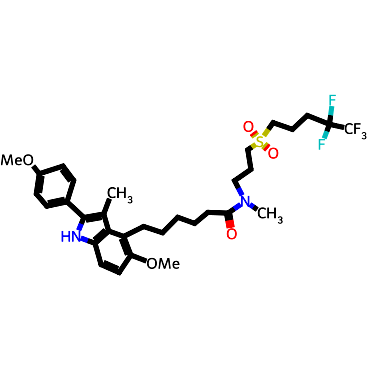 COc1ccc(-c2[nH]c3ccc(OC)c(CCCCCC(=O)N(C)CCCS(=O)(=O)CCCC(F)(F)C(F)(F)F)c3c2C)cc1